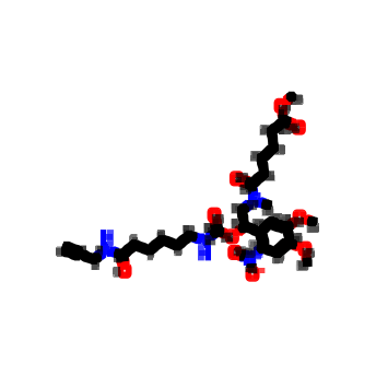 C#CCNC(=O)CCCCCNC(=O)OC(CN(C)C(=O)CCCCC(=O)OC)c1cc(OC)c(OC)cc1[N+](=O)[O-]